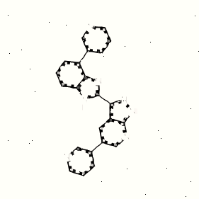 c1cncc(-c2cnc3[nH]nc(-c4nc5c(-c6cccnc6)cccc5[nH]4)c3c2)c1